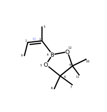 C/C=C(/C)B1OC(C)(C)C(C)(C)O1